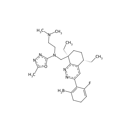 BC1=C(c2cc3c(nn2)[C@@](CC)(CN(CCN(C)C)c2nnc(C)o2)CC[C@@H]3CC)C(F)=CCC1